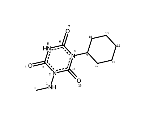 CNn1c(=O)[nH]c(=O)n(C2CCCCC2)c1=O